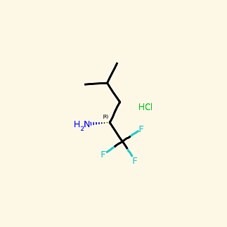 CC(C)C[C@@H](N)C(F)(F)F.Cl